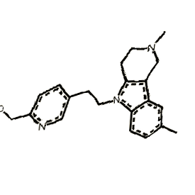 Cc1ccc2c(c1)c1c(n2CCc2ccc(CO)nc2)CCN(C)C1